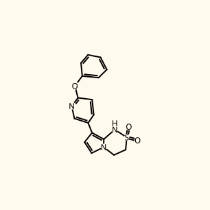 O=S1(=O)CCn2ccc(-c3ccc(Oc4ccccc4)nc3)c2N1